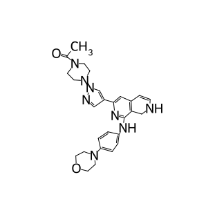 CC(=O)N1CCN(n2cc(-c3cc4c(c(Nc5ccc(N6CCOCC6)cc5)n3)CNC=C4)cn2)CC1